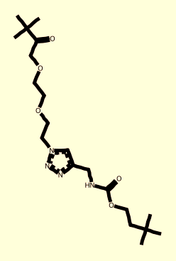 CC(C)(C)CCOC(=O)NCc1cn(CCOCCOCC(=O)C(C)(C)C)nn1